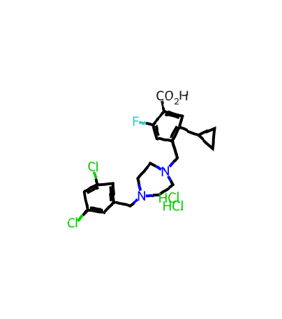 Cl.Cl.O=C(O)c1cc(C2CC2)c(CN2CCN(Cc3cc(Cl)cc(Cl)c3)CC2)cc1F